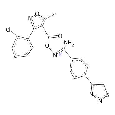 Cc1onc(-c2ccccc2Cl)c1C(=O)O/N=C(\N)c1ccc(-c2csnn2)cc1